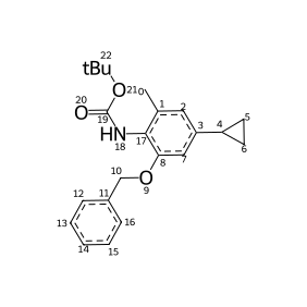 Cc1cc(C2CC2)cc(OCc2ccccc2)c1NC(=O)OC(C)(C)C